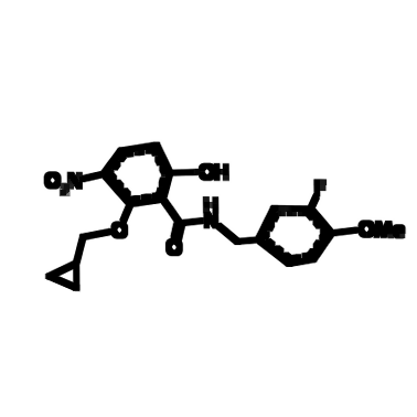 COc1ccc(CNC(=O)c2c(O)ccc([N+](=O)[O-])c2OCC2CC2)cc1F